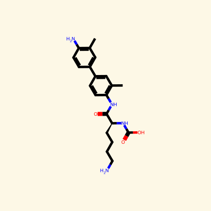 Cc1cc(-c2ccc(NC(=O)[C@H](CCCCN)NC(=O)O)c(C)c2)ccc1N